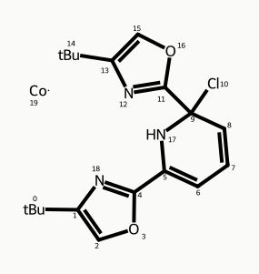 CC(C)(C)c1coc(C2=CC=CC(Cl)(c3nc(C(C)(C)C)co3)N2)n1.[Co]